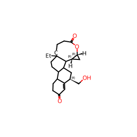 CCC12CCCC(=O)O[C@@H]3C[C@@H]3C1C1C[C@@H](CO)C3=CC(=O)CCC3C1CC2